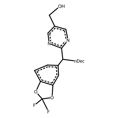 CCCCCCCCCCC(c1ccc2c(c1)OC(F)(F)O2)c1ncc(CO)cn1